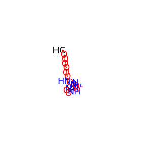 C#CCOCCOCCOCCOCCOCCOCCNC(=O)CCCn1c(=O)c(=O)[nH]c2cc([N+](=O)[O-])c(-n3ccnc3)cc21